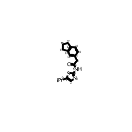 CC(C)c1cnc(NC(=O)Cc2ccc3c(c2)CCC3)s1